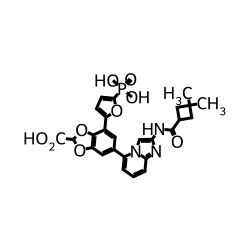 CC1(C)CC(C(=O)Nc2cn3c(-c4cc5c(c(-c6ccc(P(=O)(O)O)o6)c4)OC(C(=O)O)O5)cccc3n2)C1